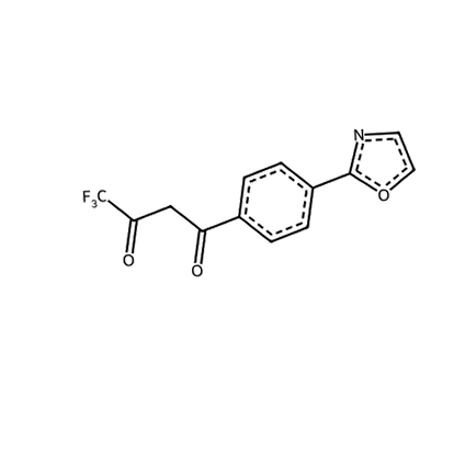 O=C(CC(=O)C(F)(F)F)c1ccc(-c2ncco2)cc1